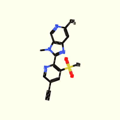 C#Cc1cnc(-c2nc3cc(C(F)(F)F)ncc3n2C)c(S(=O)(=O)CC)c1